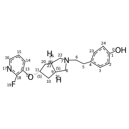 Oc1ccc(CCN2C[C@H]3C[C@H](Oc4cccnc4F)C[C@H]3C2)cc1